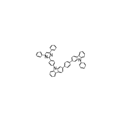 c1ccc(-c2cc(-c3ccccc3)nc(-c3ccc(-n4c5ccccc5c5ccc(-c6ccc(-c7ccc8c9ccccc9n(-c9ccccc9)c8c7)cc6)cc54)cc3)n2)cc1